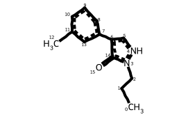 CCCn1[nH]cc(-c2cccc(C)c2)c1=O